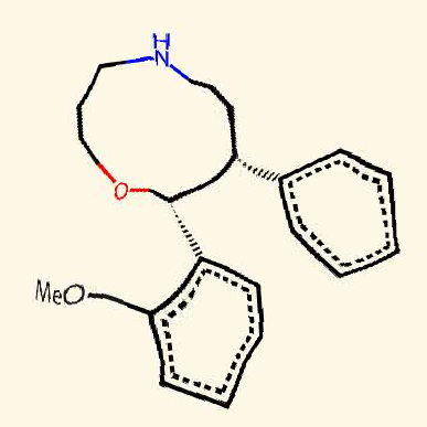 COc1ccccc1[C@@H]1OCCNC[C@@H]1c1ccccc1